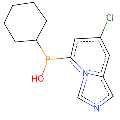 OP(c1cc(Cl)cc2cncn12)C1CCCCC1